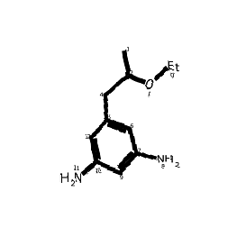 CCOC(C)Cc1cc(N)cc(N)c1